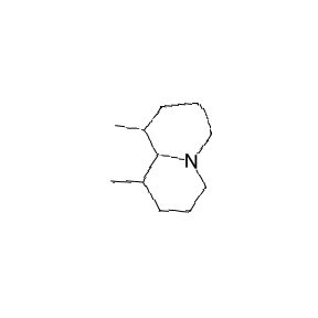 CC1CCCN2CCCC(C)C12